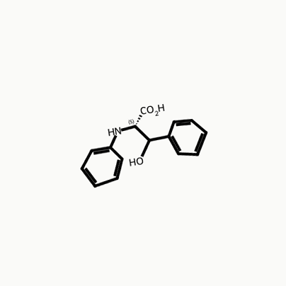 O=C(O)[C@@H](Nc1ccccc1)C(O)c1ccccc1